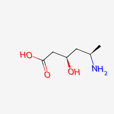 C[C@@H](N)C[C@@H](O)CC(=O)O